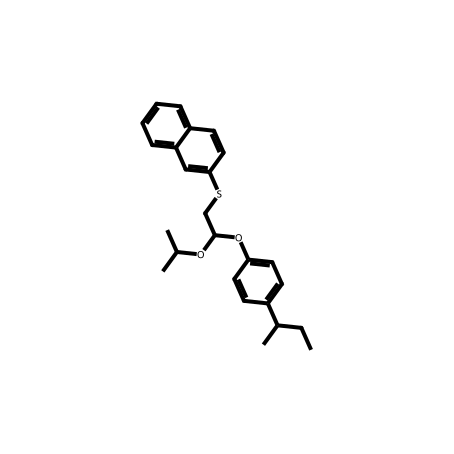 CCC(C)c1ccc(OC(CSc2ccc3ccccc3c2)OC(C)C)cc1